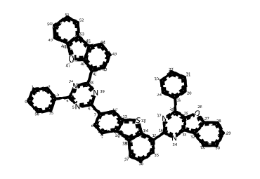 c1ccc(-c2nc(-c3ccc4c(c3)sc3c(-c5nc(-c6ccccc6)c6oc7ccccc7c6n5)cccc34)nc(-c3cccc4c3oc3ccccc34)n2)cc1